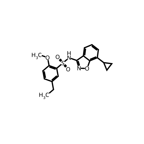 CCc1ccc(OC)c(S(=O)(=O)Nc2noc3c(C4CC4)cccc23)c1